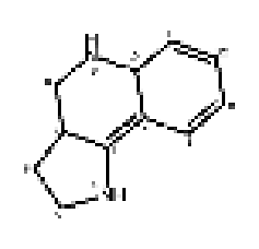 C1=CC2=C3NCCC3CNC2C=C1